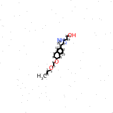 C/C=C/COCCO[C@@H]1CCc2cc([C@H](CN)CCCCO)ccc2C1